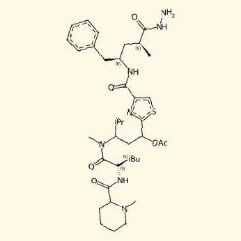 CC[C@H](C)[C@H](NC(=O)C1CCCCN1C)C(=O)N(C)C(CC(OC(C)=O)c1nc(C(=O)N[C@@H](Cc2ccccc2)C[C@H](C)C(=O)NN)cs1)C(C)C